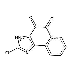 O=C1C(=O)c2[nH]c(Cl)nc2-c2ccccc21